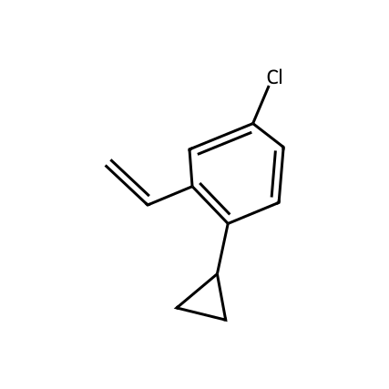 C=Cc1cc(Cl)ccc1C1CC1